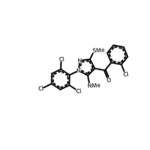 CNc1c(C(=O)c2ccccc2Cl)c(SC)nn1-c1c(Cl)cc(Cl)cc1Cl